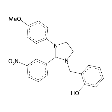 COc1ccc(N2CCN(Cc3ccccc3O)C2c2cccc([N+](=O)[O-])c2)cc1